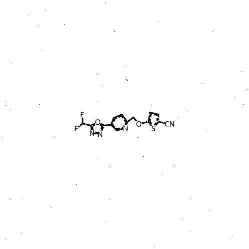 N#Cc1ccc(OCc2ccc(-c3nnc(C(F)F)o3)cn2)s1